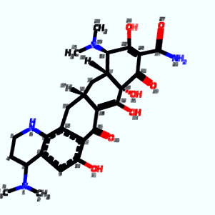 CN(C)C1CCNc2c1cc(O)c1c2C[C@@H]2C[C@@H]3[C@@H](N(C)C)C(O)=C(C(N)=O)C(=O)[C@@]3(O)C(O)=C2C1=O